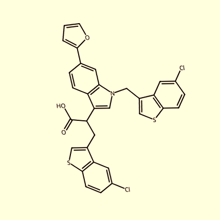 O=C(O)C(Cc1csc2ccc(Cl)cc12)c1cn(Cc2csc3ccc(Cl)cc23)c2cc(-c3ccco3)ccc12